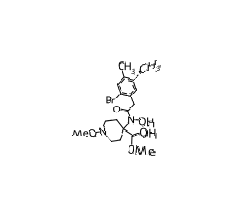 COC(O)C1(N(O)C(=O)Cc2cc(C)c(C)cc2Br)CCN(OC)CC1